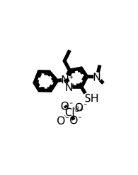 CCc1cc(N(C)C)c(S)n[n+]1-c1ccccc1.[O-][Cl+3]([O-])([O-])[O-]